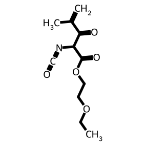 C=C(C)C(=O)C(N=C=O)C(=O)OCCOCC